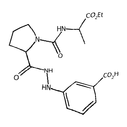 CCOC(=O)C(C)NC(=O)N1CCCC1C(=O)NNc1cccc(C(=O)O)c1